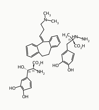 CN(C)CCC=C1c2ccccc2CCc2ccccc21.C[C@@](Cc1ccc(O)c(O)c1)(NN)C(=O)O.N[C@H](C(=O)O)[C@@H](O)c1ccc(O)c(O)c1